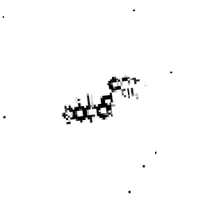 CCN1CC[C@@H](c2cc3c(Nc4c(F)cc5scnc5c4F)ccnc3s2)[C@H]1C